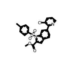 COC(=O)c1cc2ccc(-c3ncccc3Cl)cc2n1S(=O)(=O)c1ccc(C)cc1